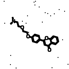 CN(C)CCOCCOc1ccc(-c2cc(=O)c3ccccc3o2)cc1